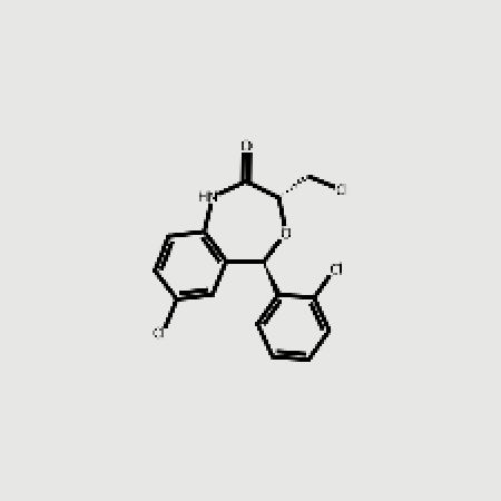 O=C1Nc2ccc(Cl)cc2[C@H](c2ccccc2Cl)O[C@H]1CCl